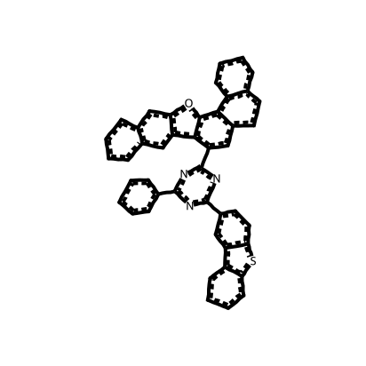 c1ccc(-c2nc(-c3ccc4sc5ccccc5c4c3)nc(-c3cc4ccc5ccccc5c4c4oc5cc6ccccc6cc5c34)n2)cc1